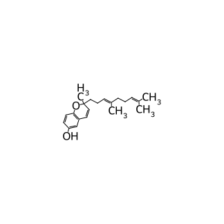 CC(C)=CCC/C(C)=C/CCC1(C)C=Cc2cc(O)ccc2O1